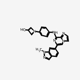 Cn1ncc2ccc(-c3cn4ccnc4c(Nc4ccc(N5CC(O)C5)cc4)n3)cc21